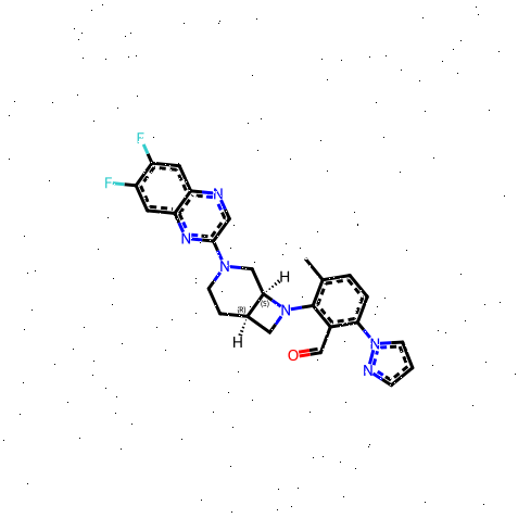 Cc1ccc(-n2cccn2)c(C=O)c1N1C[C@H]2CCN(c3cnc4cc(F)c(F)cc4n3)C[C@H]21